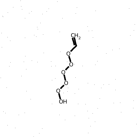 C=COOOOOO